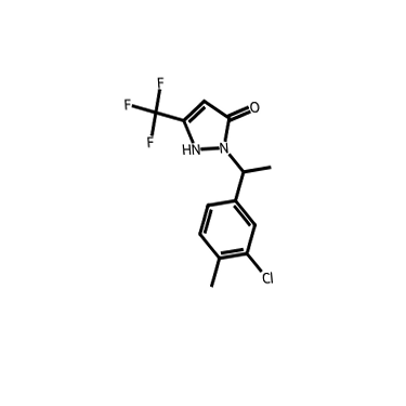 Cc1ccc(C(C)n2[nH]c(C(F)(F)F)cc2=O)cc1Cl